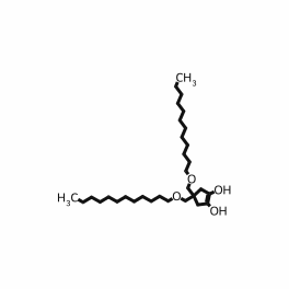 CCCCCCCCCCCCOCC1(COCCCCCCCCCCCC)CC(O)=C(O)C1